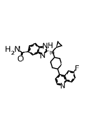 NC(=O)c1ccc2[nH]c([C@@H](C3CCC(c4ccnc5ccc(F)cc45)CC3)C3CC3)nc2c1